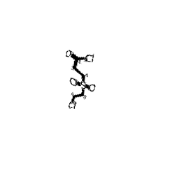 O=C(Cl)CCS(=O)(=O)CCCl